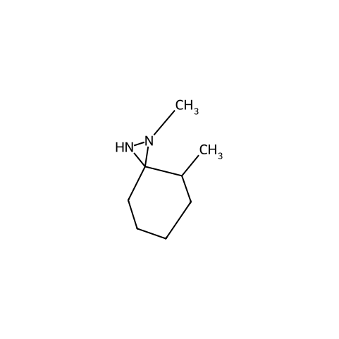 CC1CCCCC12NN2C